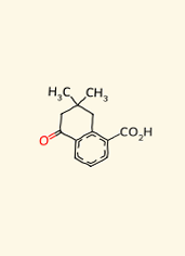 CC1(C)CC(=O)c2cccc(C(=O)O)c2C1